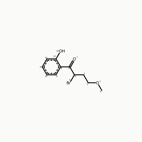 COCCC(Br)C(=O)c1ccccc1O